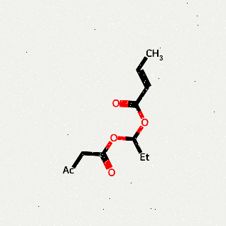 CC=CC(=O)OC(CC)OC(=O)CC(C)=O